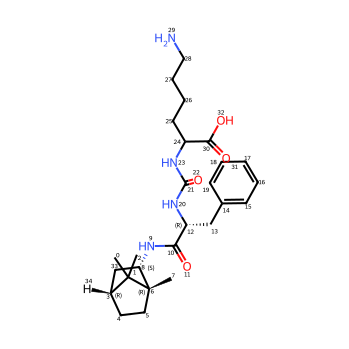 CC1(C)[C@@H]2CC[C@@]1(C)[C@@H](NC(=O)[C@@H](Cc1ccccc1)NC(=O)NC(CCCCN)C(=O)O)C2